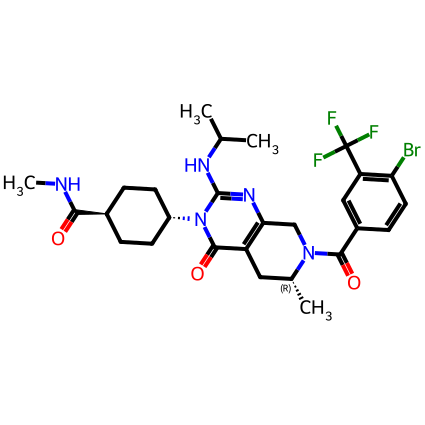 CNC(=O)[C@H]1CC[C@H](n2c(NC(C)C)nc3c(c2=O)C[C@@H](C)N(C(=O)c2ccc(Br)c(C(F)(F)F)c2)C3)CC1